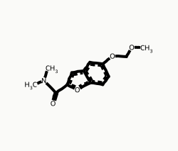 COCOc1ccc2oc(C(=O)N(C)C)cc2c1